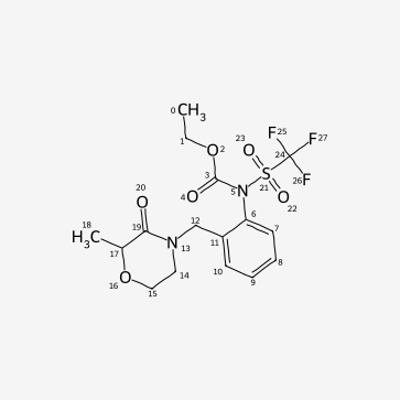 CCOC(=O)N(c1ccccc1CN1CCOC(C)C1=O)S(=O)(=O)C(F)(F)F